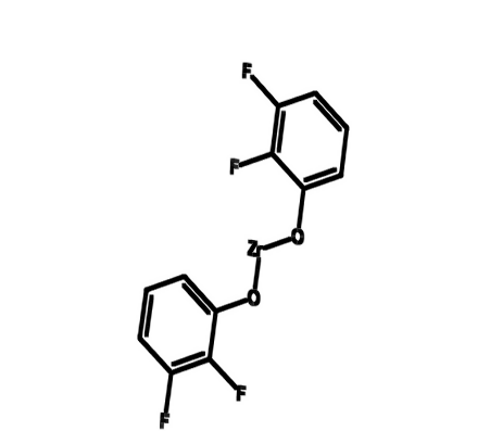 Fc1cccc([O][Zr][O]c2cccc(F)c2F)c1F